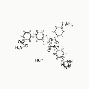 Cl.NC[C@H]1CC[C@H](C(=O)N[C@@H](Cc2cccc(-c3cccc(S(N)(=O)=O)c3)c2)C(=O)Nc2ccc(-c3nnn[nH]3)cc2)CC1